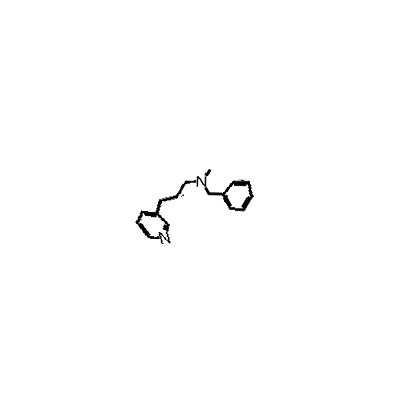 CN(C[CH]Cc1cccnc1)Cc1ccccc1